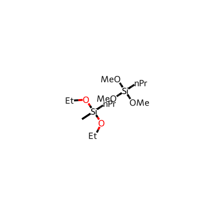 CCC[Si](C)(OCC)OCC.CCC[Si](OC)(OC)OC